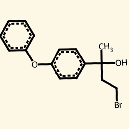 CC(O)(CCBr)c1ccc(Oc2ccccc2)cc1